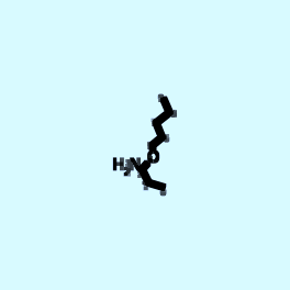 C[CH]C(N)OCCCCC